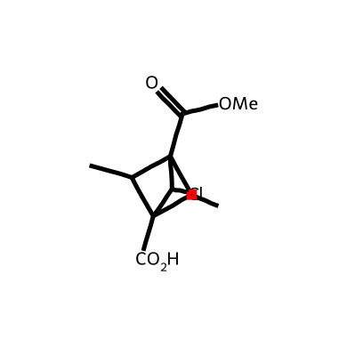 COC(=O)C12C(C)C(C(=O)O)(C1C)C2Cl